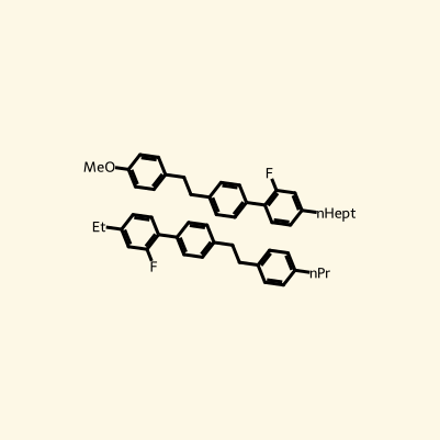 CCCCCCCc1ccc(-c2ccc(CCc3ccc(OC)cc3)cc2)c(F)c1.CCCc1ccc(CCc2ccc(-c3ccc(CC)cc3F)cc2)cc1